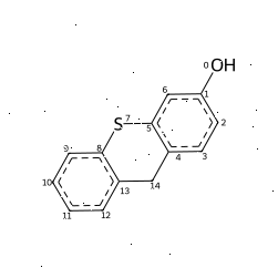 Oc1ccc2c(c1)Sc1ccccc1C2